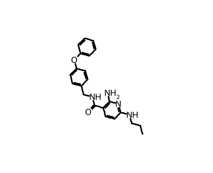 CCCNc1ccc(C(=O)NCc2ccc(Oc3ccccc3)cc2)c(N)n1